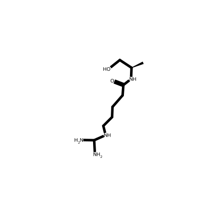 C[C@H](CO)NC(=O)CCCCNC(N)N